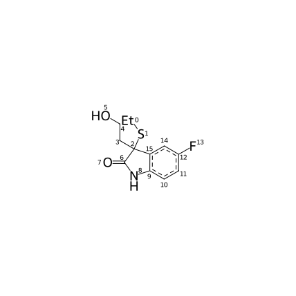 CCSC1(CCO)C(=O)Nc2ccc(F)cc21